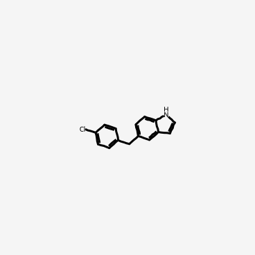 Clc1ccc(Cc2ccc3[nH]ccc3c2)cc1